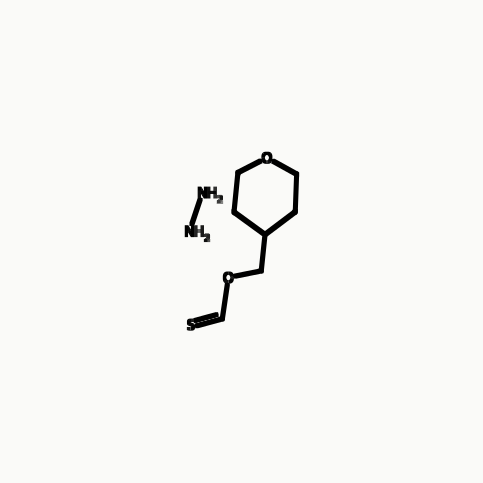 NN.S=COCC1CCOCC1